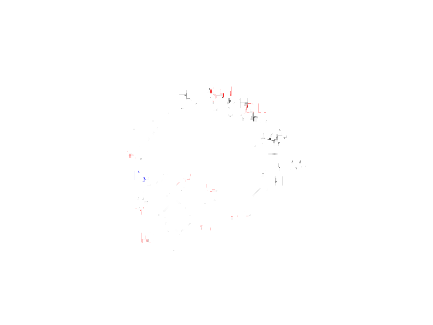 C=C1[C@@H](OC)/C=C/O[C@@]2(C)Oc3c(C)c(O)c4c(c3C2=O)C(=O)C=C(NC(=O)/C(C)=C\C=C\[C@H](C)[C@H](O)[C@@H](C)[C@@H](O)[C@@H](C)[C@@H]1OC(C)=O)C4=O